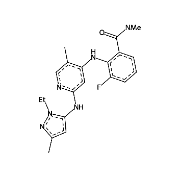 CCn1nc(C)cc1Nc1cc(Nc2c(F)cccc2C(=O)NC)c(C)cn1